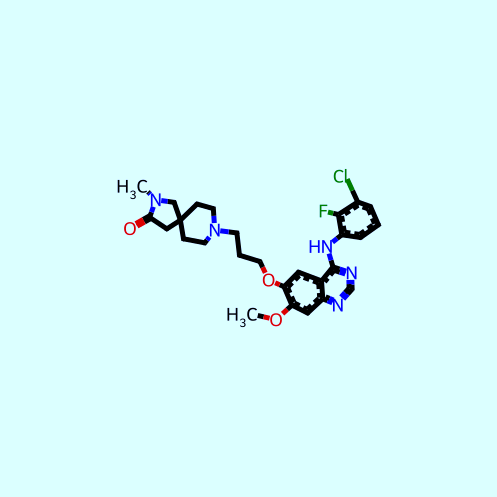 COc1cc2ncnc(Nc3cccc(Cl)c3F)c2cc1OCCCN1CCC2(CC1)CC(=O)N(C)C2